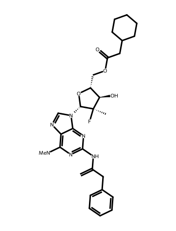 C=C(Cc1ccccc1)Nc1nc(NC)c2ncn([C@@H]3O[C@H](COC(=O)CC4CCCCC4)[C@@H](O)[C@@]3(C)F)c2n1